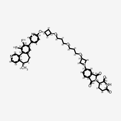 CC1CCc2cc(-c3ccc(O[C@H]4C[C@H](OCCCOCCCOC5CN(c6ccc7c(c6)C(=O)N(C6CCC(=O)NC6=O)C7=O)C5)C4)nc3)c(F)c(F)c2-c2cnccc21